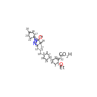 CCOc1ccc(-c2ccc(CCCC3=NN(c4ccc(C)cc4)C(=O)C3(C)C)cc2)cc1CC(=O)O